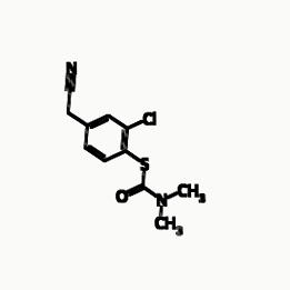 CN(C)C(=O)Sc1ccc(CC#N)cc1Cl